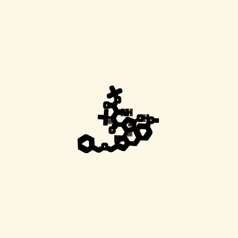 COc1ccc(CC2C=C(COCc3ccccc3)N=C2[C@@H]2C[C@@H](O)CC2C(=O)[C@@H](C(=N)C(=O)OC(C)(C)C)C(C)(C)C)cc1